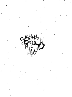 CC(C)C1=NCCN1.O.O.O=S(=O)(O)S(=O)(=O)O